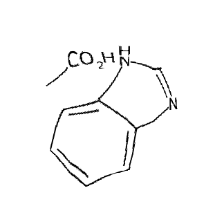 CC(=O)O.c1ccc2[nH]cnc2c1